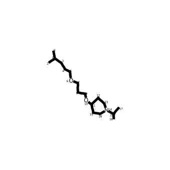 CC(C)CCCOCCCOC1CCN(C(C)C)CC1